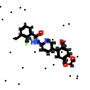 Cc1cccc(C(=O)Nc2ccc(-c3cc4c(cc3Br)OCO4)cn2)c1F